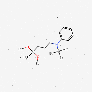 CCO[Si](C)(CCCN(c1ccccc1)[Si](CC)(CC)CC)OCC